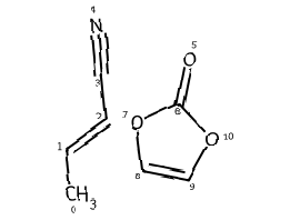 CC=CC#N.O=c1occo1